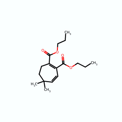 CCCOC(=O)C1=C(C(=O)OCCC)CCC(C)(C)C=C1